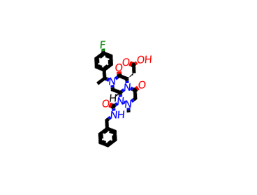 CC(c1ccc(F)cc1)N1C[C@H]2N(C(=O)CN(C)N2C(=O)NCc2ccccc2)[C@@H](CC(=O)O)C1=O